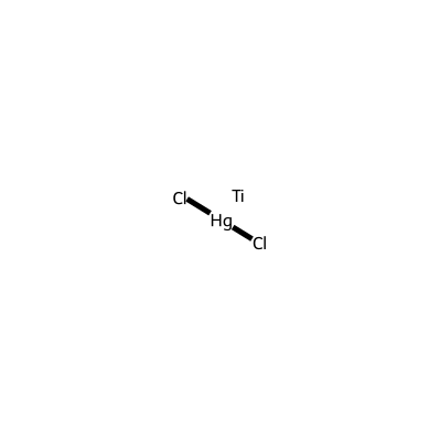 [Cl][Hg][Cl].[Ti]